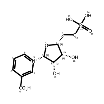 O=C(O)c1ccc[n+]([C@@H]2O[C@H](COP(=O)(O)O)[C@H](O)[C@@H]2O)c1